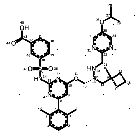 Cc1cccc(C)c1-c1cc(OC[C@@H](CC2(C)CCC2)NCc2ncc(OC(C)C)cn2)nc(NS(=O)(=O)c2cccc(C(=O)O)c2)n1